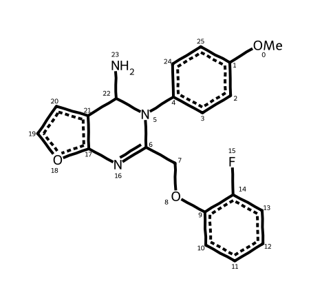 COc1ccc(N2C(COc3ccccc3F)=Nc3occc3C2N)cc1